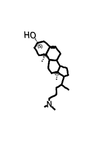 CC(CCCN(C)C)C1CCC2C3CC=C4C[C@@H](O)CC[C@]4(C)C3CC[C@]12C